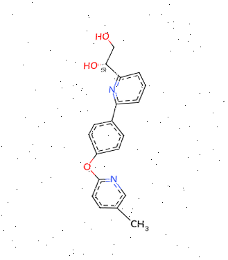 Cc1ccc(Oc2ccc(-c3cccc([C@H](O)CO)n3)cc2)nc1